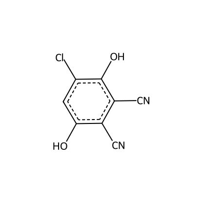 N#Cc1c(O)cc(Cl)c(O)c1C#N